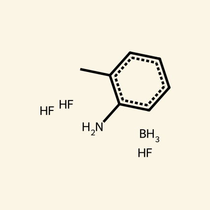 B.Cc1ccccc1N.F.F.F